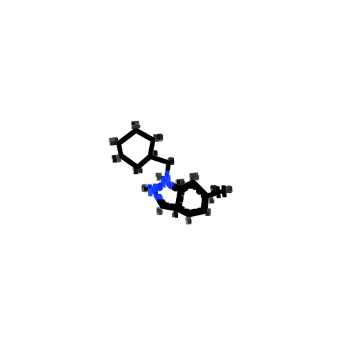 [2H]c1ccc2cnn(CC3CCCCC3)c2c1